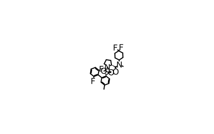 Cc1ccc(S(=O)(=O)N2CCC[C@H]2C(=O)N(C)C2CCC(F)(F)CC2)c(-c2c(F)cccc2F)c1